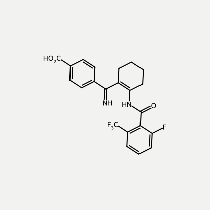 N=C(C1=C(NC(=O)c2c(F)cccc2C(F)(F)F)CCCC1)c1ccc(C(=O)O)cc1